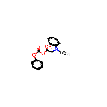 CCCCN(CC(O)OC(=O)Oc1ccccc1)c1ccccc1